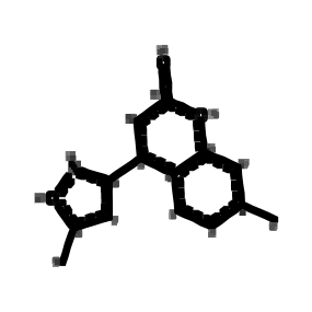 Cc1ccc2c(-c3cc(C)on3)cc(=O)oc2c1